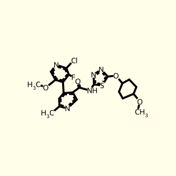 COc1cnc(Cl)c(F)c1-c1cc(C)ncc1C(=O)Nc1nnc(OC2CCC(OC)CC2)s1